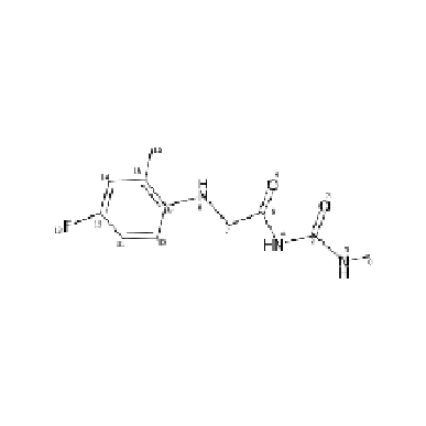 CNC(=O)NC(=O)CNc1ccc(F)cc1C